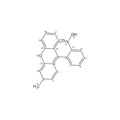 CC1C=CC2=C(c3ccccc3C(=O)O)c3ccccc3OC2=C1